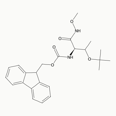 CONC(=O)[C@H](NC(=O)OCC1c2ccccc2-c2ccccc21)C(C)OC(C)(C)C